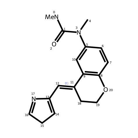 CNC(=O)N(C)c1ccc2c(c1)/C(=C/C1=CCC=N1)CCO2